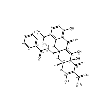 CN(C)c1ccc(O)c2c1C[C@@]1(CNC(=O)c3ccccc3)C[C@H]3CC(O)=C(C(N)=O)C(=O)[C@@]3(O)C(O)=C1C2=O